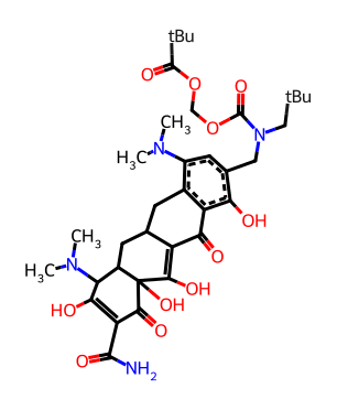 CN(C)c1cc(CN(CC(C)(C)C)C(=O)OCOC(=O)C(C)(C)C)c(O)c2c1CC1CC3C(N(C)C)C(O)=C(C(N)=O)C(=O)C3(O)C(O)=C1C2=O